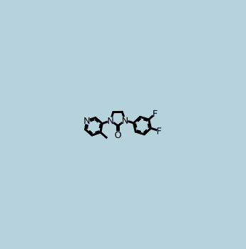 Cc1ccncc1N1CCN(c2ccc(F)c(F)c2)C1=O